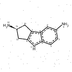 Nc1ccc2[nH]c3c(c2c1)C[C@H](N)C3